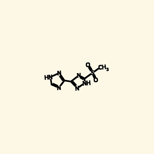 CS(=O)(=O)c1nc(-c2nc[nH]n2)n[nH]1